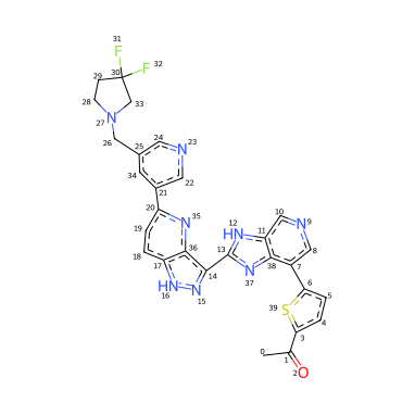 CC(=O)c1ccc(-c2cncc3[nH]c(-c4n[nH]c5ccc(-c6cncc(CN7CCC(F)(F)C7)c6)nc45)nc23)s1